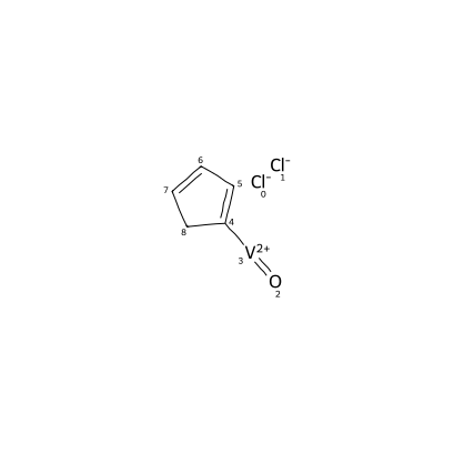 [Cl-].[Cl-].[O]=[V+2][C]1=CC=CC1